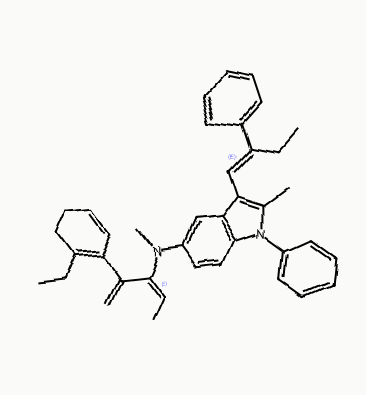 C=C(C1=C(CC)CCC=C1)/C(=C\C)N(C)c1ccc2c(c1)c(/C=C(\CC)c1ccccc1)c(C)n2-c1ccccc1